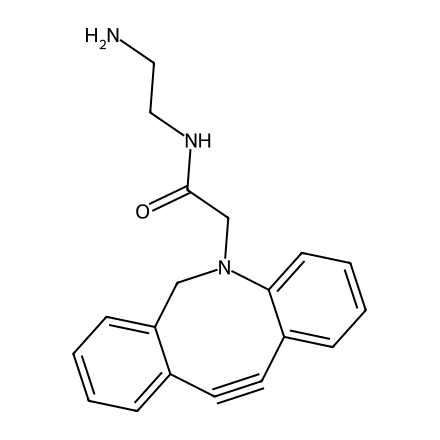 NCCNC(=O)CN1Cc2ccccc2C#Cc2ccccc21